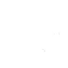 CCc1ccccc1/C(=C/C(=O)O)C(N)=O